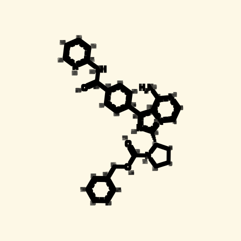 Nc1nccn2c([C@@H]3CCCN3C(=O)OCc3ccccc3)nc(-c3ccc(C(=O)Nc4ccccn4)cc3)c12